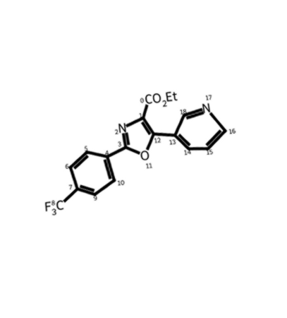 CCOC(=O)c1nc(-c2ccc(C(F)(F)F)cc2)oc1-c1cccnc1